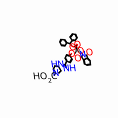 N=C(NC1CCN(C(=O)O)CC1)c1ccc(OC[C@H](ON2C(=O)c3ccccc3C2=O)C(=O)OC(c2ccccc2)c2ccccc2)cc1